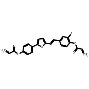 C=CC(=O)Oc1ccc(-c2ccc(/C=C/c3ccc(OC(=O)C=C)c(F)c3)o2)cc1